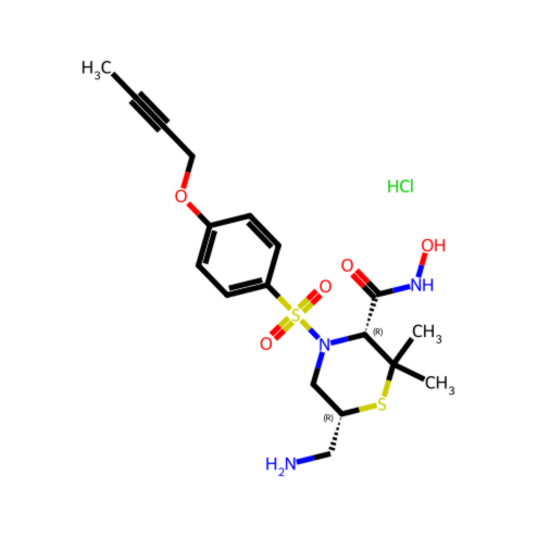 CC#CCOc1ccc(S(=O)(=O)N2C[C@@H](CN)SC(C)(C)[C@H]2C(=O)NO)cc1.Cl